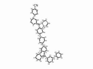 N#Cc1ccc(-c2cccc(N3c4ccc(-c5ccc(-c6ccc7c(c6)c6ccccc6n7-c6cccc(-c7ccccc7)c6)cc5)cc4C4C=CC=CC43)c2)cc1